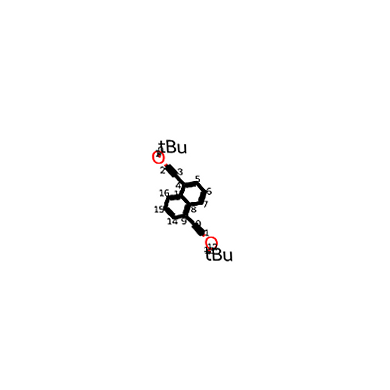 CC(C)(C)OC#Cc1cccc2c(C#COC(C)(C)C)cccc12